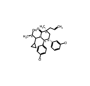 C=CC[C@@]1(C)C[C@H](c2cccc(Cl)c2)[C@@H](c2ccc(Cl)cc2)N(C(C2CC2)[C@@H](C)O)C1=O